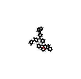 CC1(C)c2ccccc2-c2ccc(N(c3cccc(N(c4ccc(-c5ccccc5)cc4)c4ccc(C56CC7CC(CC(C7)C5)C6)cc4)c3)c3ccccc3-c3ccccc3)cc21